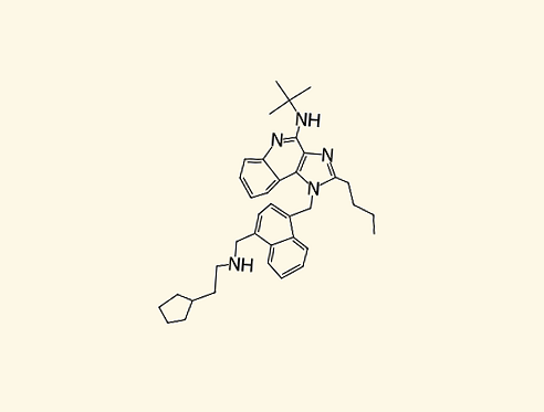 CCCCc1nc2c(NC(C)(C)C)nc3ccccc3c2n1Cc1ccc(CNCCC2CCCC2)c2ccccc12